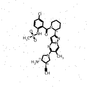 C#C[C@@H]1CN(c2nc3cc([C@@H]4CCCCN4C(=O)c4cc(Cl)ccc4NS(C)(=O)=O)nn3cc2C)C[C@H]1N